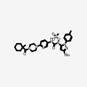 Cc1ccc(-n2nc(C(C)(C)C)cc2N(OS(C)(=O)=O)C(=O)Nc2ccc(N3CCN(C(=O)C4(C)CCCCC4)CC3)nc2)cc1